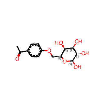 CC(=O)c1ccc(OC[C@@H]2O[C@H](O)[C@@H](O)[C@H](O)[C@@H]2O)cc1